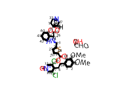 COc1ccc(C(Cc2c(Cl)c[n+]([O-])cc2Cl)OC(=O)c2ccc(CN[C@](C)(C(=O)O[C@H]3CN4CCC3CC4)c3ccccc3)s2)cc1OC.O=CO